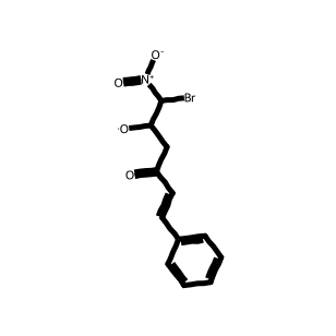 [O]C(CC(=O)/C=C/c1ccccc1)C(Br)[N+](=O)[O-]